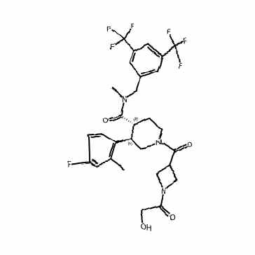 Cc1cc(F)ccc1[C@@H]1CN(C(=O)C2CN(C(=O)CO)C2)CC[C@H]1C(=O)N(C)Cc1cc(C(F)(F)F)cc(C(F)(F)F)c1